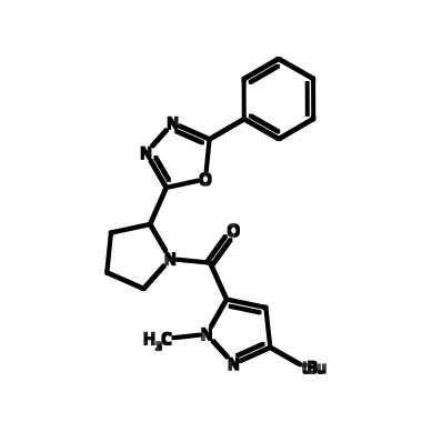 Cn1nc(C(C)(C)C)cc1C(=O)N1CCCC1c1nnc(-c2ccccc2)o1